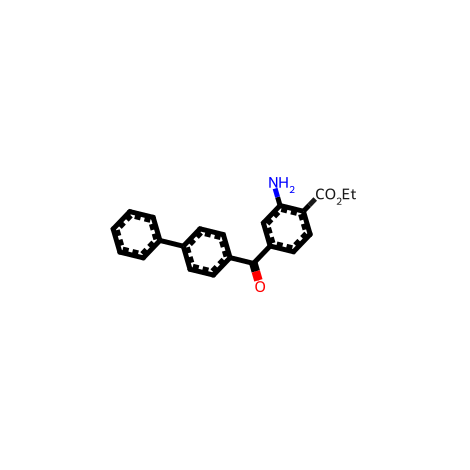 CCOC(=O)c1ccc(C(=O)c2ccc(-c3ccccc3)cc2)cc1N